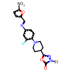 CCn1nc(C2CCN(c3ccc(/N=C/c4ccc([N+](=O)[O-])o4)cc3F)CC2)oc1=O